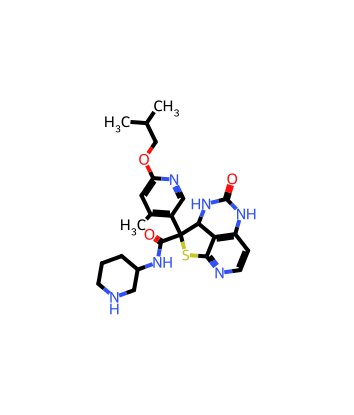 Cc1cc(OCC(C)C)ncc1C1(C(=O)NC2CCCNC2)Sc2nccc3c2C1NC(=O)N3